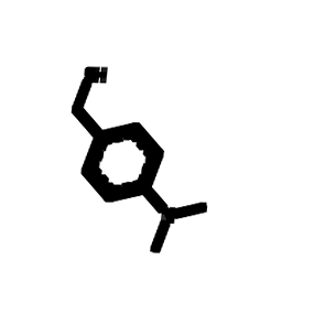 CN(C)c1ccc(CS)cc1